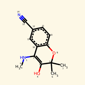 CNC1=C(O)C(C)(C)Oc2ccc(C#N)cc21